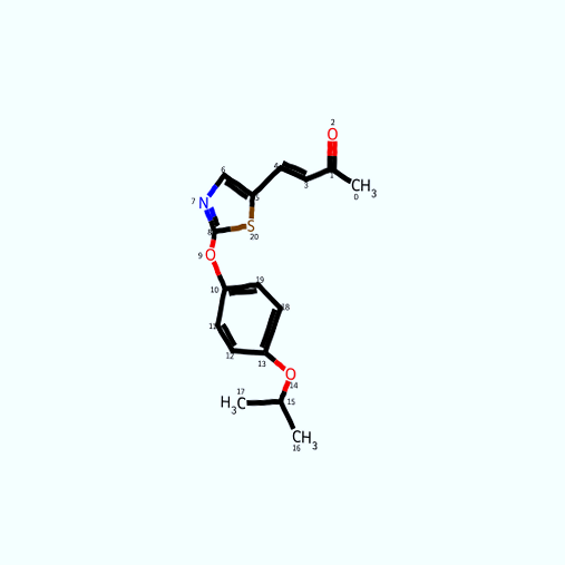 CC(=O)C=Cc1cnc(Oc2ccc(OC(C)C)cc2)s1